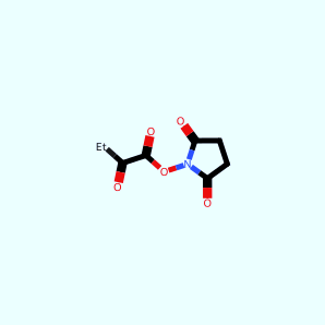 CCC(=O)C(=O)ON1C(=O)CCC1=O